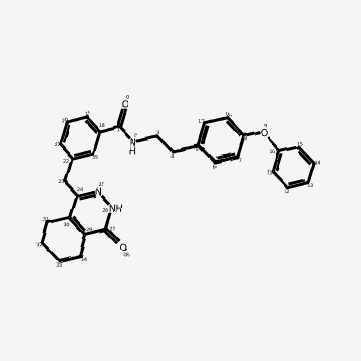 O=C(NCCc1ccc(Oc2ccccc2)cc1)c1cccc(Cc2n[nH]c(=O)c3c2CCCC3)c1